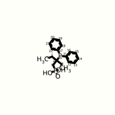 CCC(CC)(CP(=O)(O)O)P(c1ccccc1)c1ccccc1